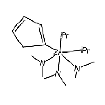 C[CH](C)[Zr]([C]1=CC=CC1)([CH](C)C)([N](C)C)([N](C)C)[N](C)C